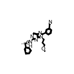 COCCCn1c(-c2cccc(C#N)c2)nc2cnc(NC[C@@H](C)c3ccccc3)nc21